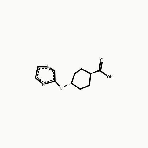 O=C(O)[C@H]1CC[C@H](Oc2cnccn2)CC1